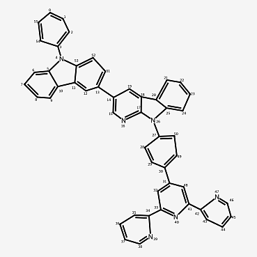 c1ccc(-n2c3ccccc3c3cc(-c4cnc5c(c4)c4ccccc4n5-c4ccc(-c5cc(-c6ccccn6)nc(-c6ccccn6)c5)cc4)ccc32)cc1